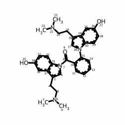 CN(C)CCc1cn(C(=O)c2ccccc2-n2cc(CCN(C)C)c3cc(O)ccc32)c2ccc(O)cc12